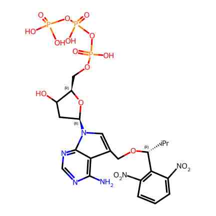 CC(C)[C@@H](OCc1cn([C@H]2CC(O)[C@@H](COP(=O)(O)OP(=O)(O)OP(=O)(O)O)O2)c2ncnc(N)c12)c1c([N+](=O)[O-])cccc1[N+](=O)[O-]